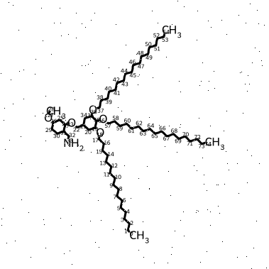 CCCCCCCCCCCCCCCCCCOC1CC(COC2CC(OC)CCC2CN)CC(OCCCCCCCCCCCCCCCCCC)C1OCCCCCCCCCCCCCCCCCC